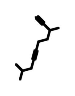 [C]#CC(C)CCC#CCC(C)C